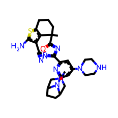 CN1CC2CCC(C1)N2c1cc(N2CCNCC2)cc(-c2noc(C3(C)CCCc4sc(N)c(C#N)c43)n2)n1